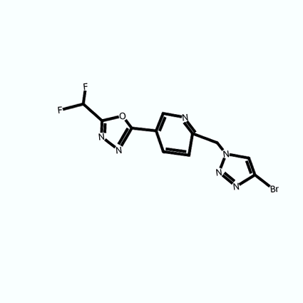 FC(F)c1nnc(-c2ccc(Cn3cc(Br)nn3)nc2)o1